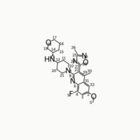 COc1cc(F)c2nc(N3CCC(N[C@@H]4CCCOC4)CC3)c(-c3nc(C)no3)c(C)c2c1